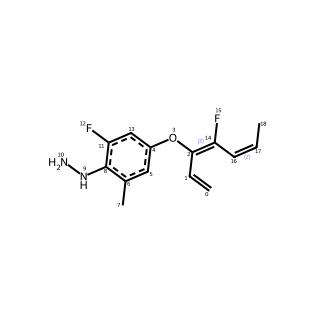 C=C/C(Oc1cc(C)c(NN)c(F)c1)=C(F)\C=C/C